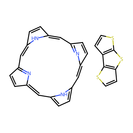 C1=Cc2cc3ccc(cc4nc(cc5ccc(cc1n2)[nH]5)C=C4)[nH]3.c1cc2c(s1)sc1ccsc12